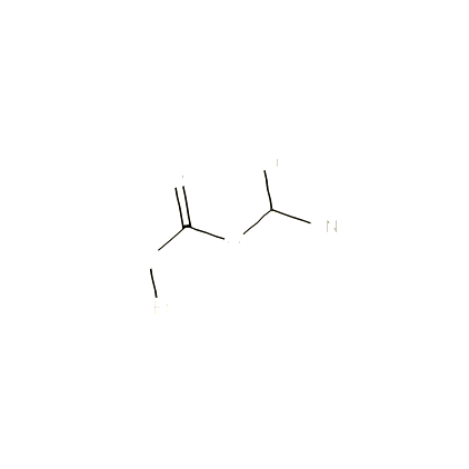 CCOC(=O)OC(C#N)C(C)C